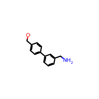 NCc1cccc(-c2ccc(C[O])cc2)c1